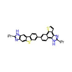 CC(C)c1nc2cc3sc4cc(-c5ccc6c(c5)c5sccc5c5nc(C(C)C)[nH]c65)ccc4c3cc2[nH]1